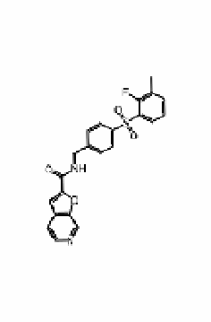 Cc1cccc(S(=O)(=O)c2ccc(CNC(=O)c3cc4ccncc4o3)cc2)c1F